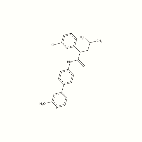 Cc1cc(-c2ccc(NC(=O)C(CC(C)C)c3cccc(Cl)c3)cc2)ccn1